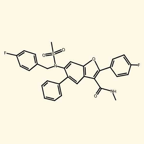 CNC(=O)c1c(-c2ccc(F)cc2)oc2cc(N(Cc3ccc(F)cc3)S(C)(=O)=O)c(-c3ccccc3)cc12